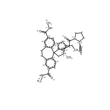 CCc1nnc(C2(C[C@@H](C)NCC(=O)N3CCC[C@H]3C#N)c3ccc(C(=O)NC)cc3CCc3cc(C(=O)NC)ccc32)o1